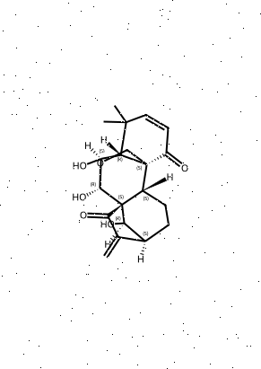 C=C1C(=O)[C@]23[C@H](O)[C@H]1CC[C@H]2[C@@]12CO[C@@]3(O)[C@@H](O)[C@@H]1C(C)(C)C=CC2=O